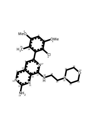 COc1cc(OC)c(Cl)c(-c2cc3cnc(N)nc3c(NCCN3CCOCC3)n2)c1C